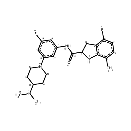 Cc1ccc(F)c2c1NC(C(=O)Nc1cc(F)cc(N3CCC(N(C)C)CC3)c1)C2